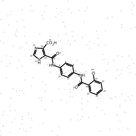 O=C(Nc1ccc(NC(=O)c2[nH]cnc2C(=O)O)cc1)c1ccccc1Cl